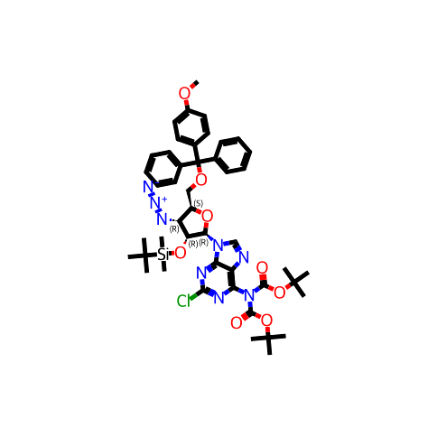 COc1ccc(C(OC[C@H]2O[C@@H](n3cnc4c(N(C(=O)OC(C)(C)C)C(=O)OC(C)(C)C)nc(Cl)nc43)[C@H](O[Si](C)(C)C(C)(C)C)[C@@H]2N=[N+]=[N-])(c2ccccc2)c2ccccc2)cc1